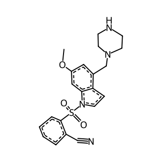 COc1cc(CN2CCNCC2)c2ccn(S(=O)(=O)c3ccccc3C#N)c2c1